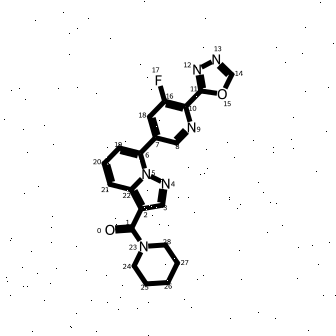 O=C(c1cnn2c(-c3cnc(-c4nnco4)c(F)c3)cccc12)N1CCCCC1